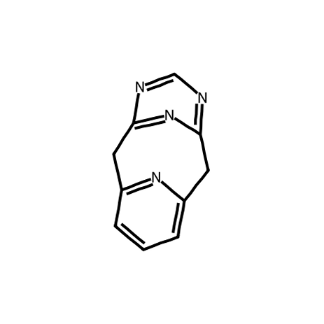 c1cc2nc(c1)Cc1ncnc(n1)C2